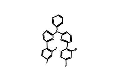 Fc1ccc(-c2cccc(N(c3ccccc3)c3cccc(-c4ccc(F)cc4F)n3)n2)c(F)c1